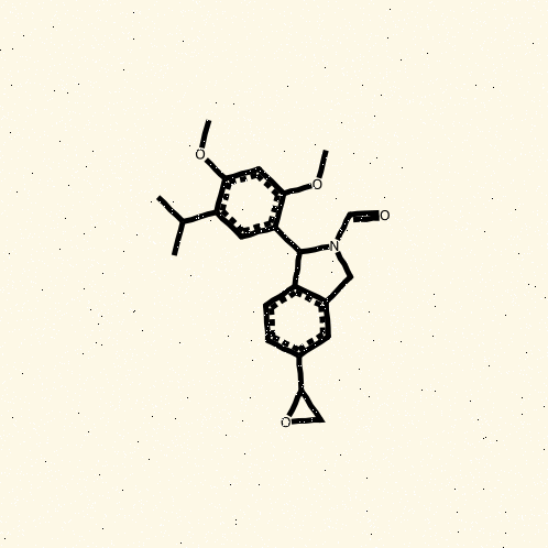 COc1cc(OC)c(C2c3ccc(C4CO4)cc3CN2C=O)cc1C(C)C